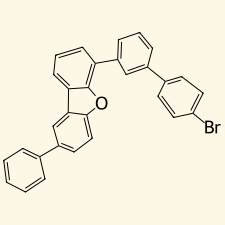 Brc1ccc(-c2cccc(-c3cccc4c3oc3ccc(-c5ccccc5)cc34)c2)cc1